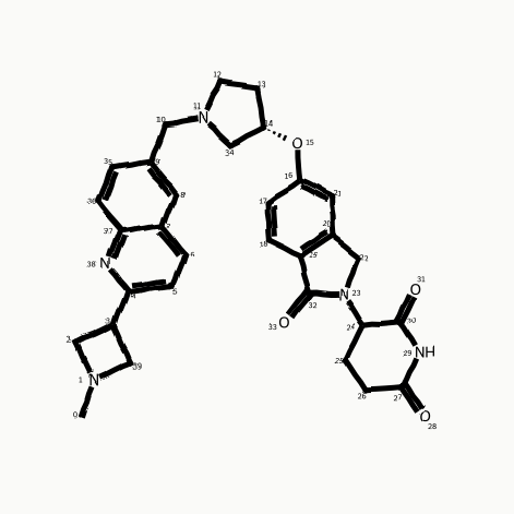 CN1CC(c2ccc3cc(CN4CC[C@H](Oc5ccc6c(c5)CN(C5CCC(=O)NC5=O)C6=O)C4)ccc3n2)C1